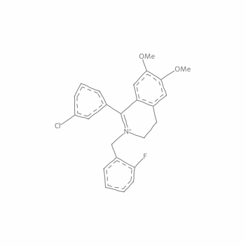 COc1cc2c(cc1OC)C(c1cccc(Cl)c1)=[N+](Cc1ccccc1F)CC2